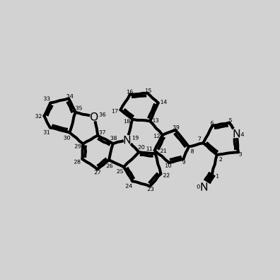 N#Cc1cnccc1-c1cccc(-c2ccccc2-n2c3ccccc3c3ccc4c5ccccc5oc4c32)c1